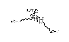 CCCCCCCCCCCCCCCCCC(=O)NCC(COC(=O)CCC)NC(=O)CCCCCCCCCCCCCCCCC